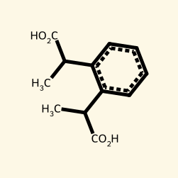 CC(C(=O)O)c1ccccc1C(C)C(=O)O